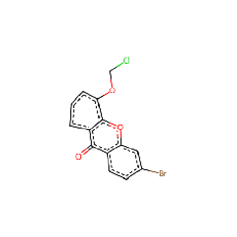 O=c1c2ccc(Br)cc2oc2c(OCCl)cccc12